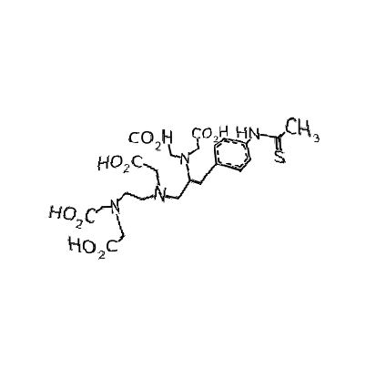 CC(=S)Nc1ccc(CC(CN(CCN(CC(=O)O)CC(=O)O)CC(=O)O)N(CC(=O)O)CC(=O)O)cc1